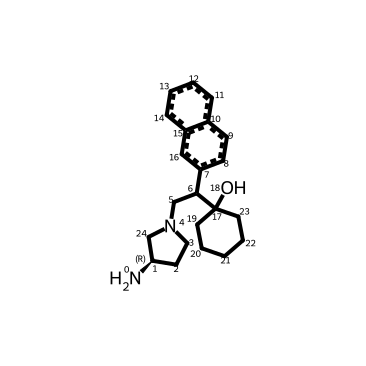 N[C@@H]1CCN(CC(c2ccc3ccccc3c2)C2(O)CCCCC2)C1